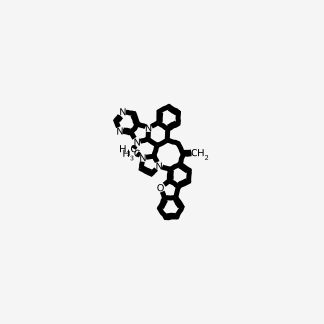 C=C1CC2c3ccccc3N3c4cncnc4N(C)C3C2C2N(C)C=CN2c2c1ccc1c2oc2ccccc21